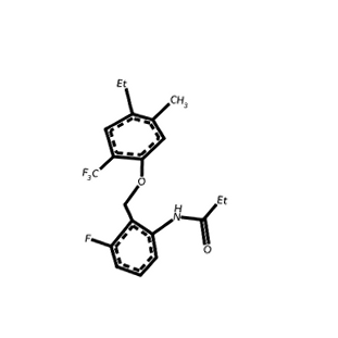 CCC(=O)Nc1cccc(F)c1COc1cc(C)c(CC)cc1C(F)(F)F